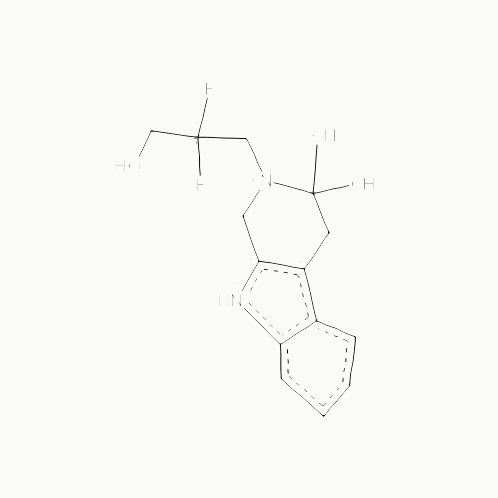 CC1(C)Cc2c([nH]c3ccccc23)CN1CC(F)(F)CO